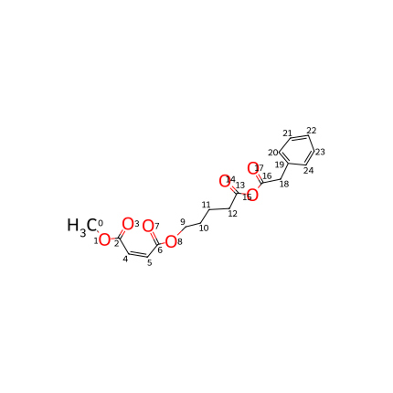 COC(=O)/C=C\C(=O)OCCCCC(=O)OC(=O)Cc1ccccc1